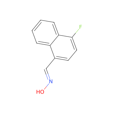 O/N=C/c1ccc(F)c2ccccc12